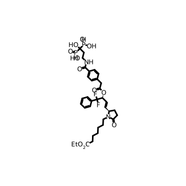 CCOC(=O)CCCCCCN1C(=O)CC[C@@H]1/C=C/[C@@H](OC(=O)Cc1ccc(C(=O)NCCC(O)([PH](=O)O)[PH](=O)O)cc1)C(F)(F)c1ccccc1